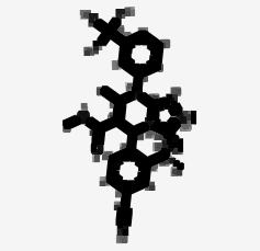 COC(=O)C1=C(C)N(c2cccc(C(F)(F)F)c2)c2n[nH]c(=O)n2C1c1ccc(C#N)cc1[C@@H](C)O